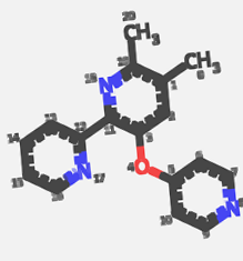 Cc1cc(Oc2ccncc2)c(-c2ccccn2)nc1C